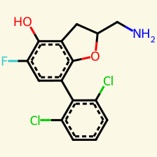 NCC1Cc2c(O)c(F)cc(-c3c(Cl)cccc3Cl)c2O1